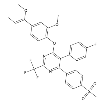 CC=C(OC)c1ccc(Oc2nc(C(F)(F)F)nc(-c3ccc(S(C)(=O)=O)cc3)c2-c2ccc(F)cc2)c(OC)c1